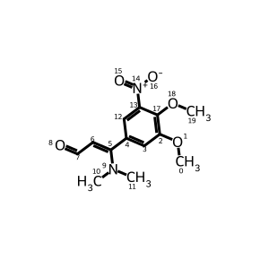 COc1cc(C(=CC=O)N(C)C)cc([N+](=O)[O-])c1OC